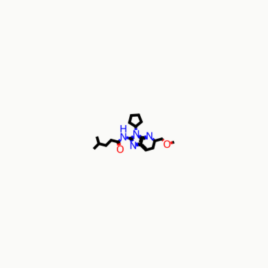 COCC1CC=c2nc(NC(=O)CCC(C)C)n(C3CCCC3)c2=N1